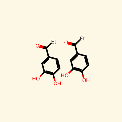 CCC(=O)c1ccc(O)c(O)c1.CCC(=O)c1ccc(O)c(O)c1